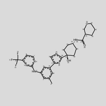 Cc1cc(Nc2nccc(C(F)(F)F)n2)cc(-c2cnc([C@]3(O)CC[C@H](NC(=O)C4CCCOC4)CC3)s2)c1